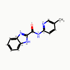 Cc1ccc(NC(=O)c2nc3ccccc3[nH]2)nc1